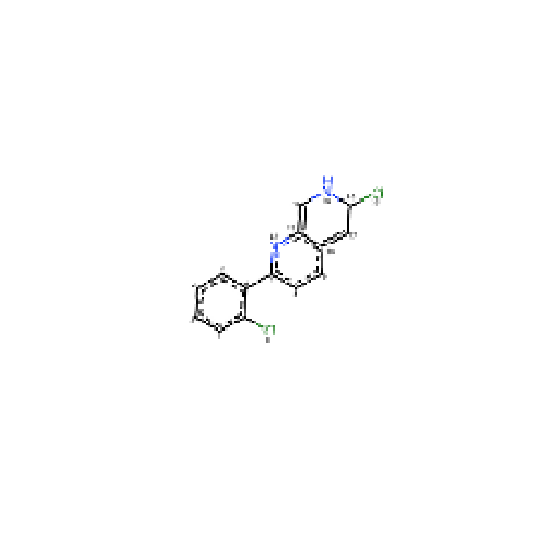 Clc1ccccc1-c1ccc2c(n1)=CNC(Cl)C=2